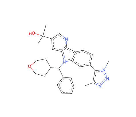 Cc1nnn(C)c1-c1ccc2c3ncc(C(C)(C)O)cc3n(C(c3ccccc3)C3CCOCC3)c2c1